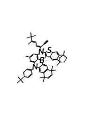 C#C/C(=C\C=C(/C)C(C)(C)C)N1C2=C(B3c4cc5c(cc4N(C4=CCC(C(C)(C)C)C=C4)c4cc(C)cc1c43)C(C)(C)C=CC5(C)C)C1C=C3C(=CC1S2)C1(C)CCC3(C)C1